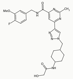 COc1cc(CNC(=O)c2cc(-c3cn(CC4CCC(NC(=O)CO)CC4)nn3)nc(C)n2)ccc1F